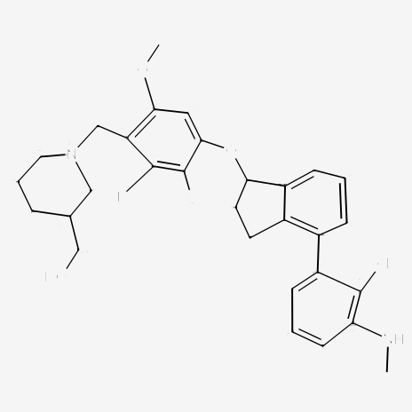 CNc1cccc(-c2cccc3c2CCC3Oc2cc(OC)c(CN3CCCC(CO)C3)c(F)c2Cl)c1Cl